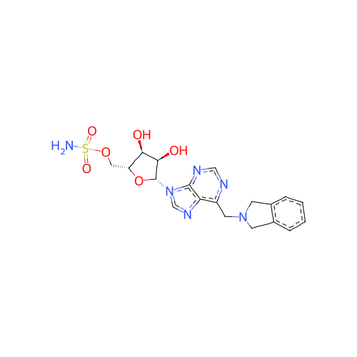 NS(=O)(=O)OC[C@H]1O[C@@H](n2cnc3c(CN4Cc5ccccc5C4)ncnc32)[C@H](O)[C@@H]1O